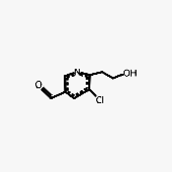 O=Cc1cnc(CCO)c(Cl)c1